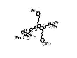 CCCC(C)C1=C2C(=O)N(CC(C)C)C(c3ccc(-c4cc5c(CCCCc6ccc(OCC(C)C)cc6)cc6c(cc(CCCCc7ccc(OCC(C)C)cc7)c7cc(-c8ccc(C(C)(CCC)CCC)s8)sc76)c5s4)s3)=C2C(=O)N1CC(C)C